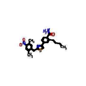 CCCCc1cc(-c2csc(Cc3cc(C)c([N+](=O)[O-])cc3C)n2)ccc1C(N)=O